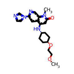 COCCO[C@H]1CC[C@H](Nc2cc(=O)n(C)c3cnc(-n4ccnc4)cc23)CC1